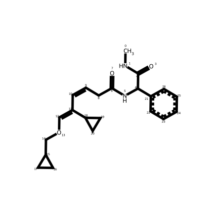 CNC(=O)C(NC(=O)C/C=C\C(=C\OCC1CC1)C1CC1)c1ccccc1